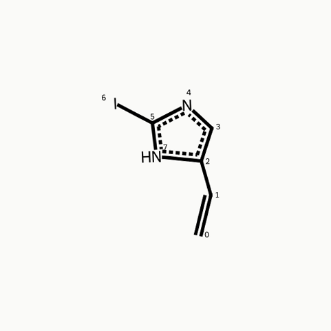 C=Cc1cnc(I)[nH]1